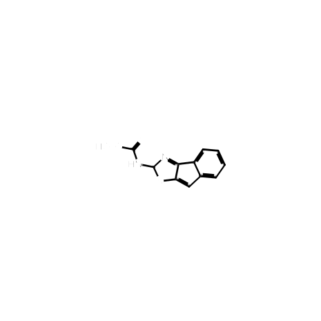 O=C(O)C(=O)NC1N=C2C(=Cc3ccccc32)S1